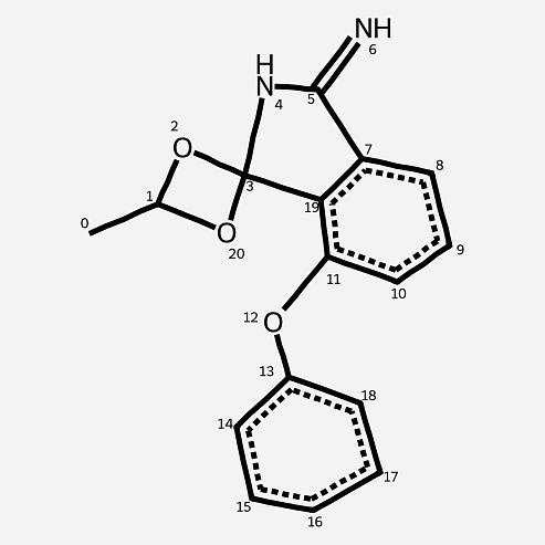 CC1OC2(NC(=N)c3cccc(Oc4ccccc4)c32)O1